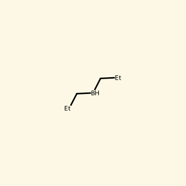 CCCBCCC